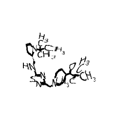 CC(C)(C)C(=O)C1CCN(Cc2nsc(NC[C@@H]3CCCN3C(C)(C)C)n2)CC1